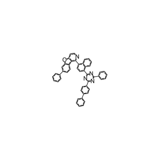 c1ccc(-c2ccc(-c3nc(-c4ccccc4)nc(-c4ccc(-c5nccc6oc7cc(-c8ccccc8)ccc7c56)c5ccccc45)n3)cc2)cc1